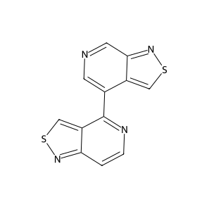 c1cc2nscc2c(-c2cncc3nscc23)n1